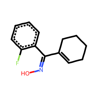 ON=C(C1=CCCCC1)c1ccccc1F